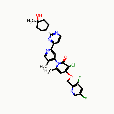 Cc1cnc(-c2ccnc([C@H]3CC[C@](C)(O)CC3)n2)cc1-n1c(C)cc(OCc2ncc(F)cc2F)c(Cl)c1=O